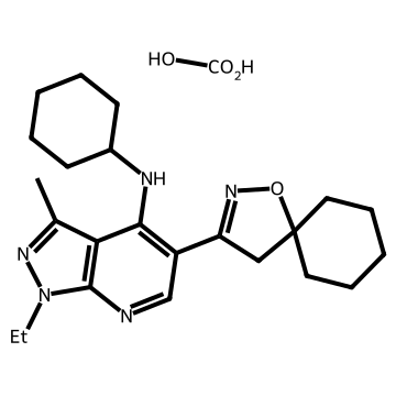 CCn1nc(C)c2c(NC3CCCCC3)c(C3=NOC4(CCCCC4)C3)cnc21.O=C(O)O